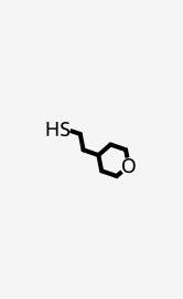 SCCC1CCOCC1